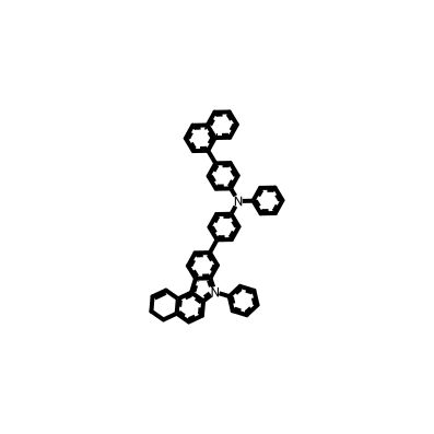 C1=Cc2c(ccc3c2c2ccc(-c4ccc(N(c5ccccc5)c5ccc(-c6cccc7ccccc67)cc5)cc4)cc2n3-c2ccccc2)CC1